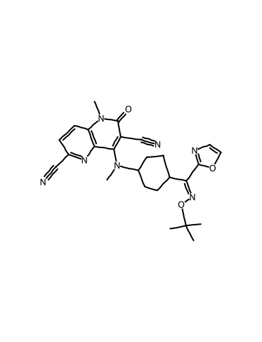 CN(c1c(C#N)c(=O)n(C)c2ccc(C#N)nc12)C1CCC(/C(=N\OC(C)(C)C)c2ncco2)CC1